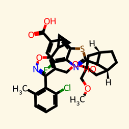 COCC1(OCc2c(-c3c(C)cccc3Cl)noc2C2CC2)C[C@H]2CC[C@@H](C1)[C@]2(O)c1nc2c(F)cc(C(=O)O)cc2s1